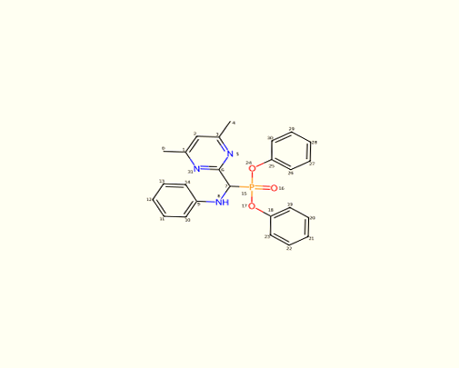 Cc1cc(C)nc(C(Nc2ccccc2)P(=O)(Oc2ccccc2)Oc2ccccc2)n1